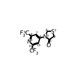 O=C1CSCN1c1cc(C(F)(F)F)nc(C(F)(F)F)c1